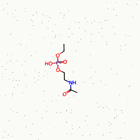 CCOP(=O)(O)OCCNC(C)=O